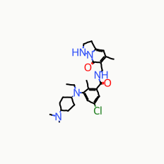 CCN(c1cc(Cl)cc(C(=O)NCc2c(C)cc3n(c2=O)NCC3)c1C)[C@H]1CC[C@H](N(C)C)CC1